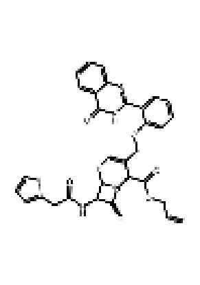 C=CCOC(=O)C1C(COc2ccccc2-c2nc3ccccc3c(=O)[nH]2)=CSC2C(NC(=O)Cc3cccs3)C(=O)N12